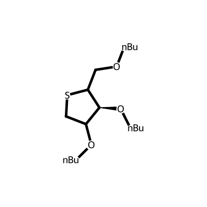 CCCCOCC1SCC(OCCCC)[C@@H]1OCCCC